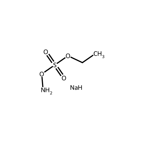 CCOS(=O)(=O)ON.[NaH]